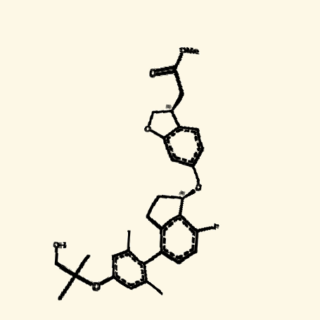 COC(=O)C[C@@H]1COc2cc(O[C@@H]3CCc4c(-c5c(C)cc(OC(C)(C)CO)cc5C)ccc(F)c43)ccc21